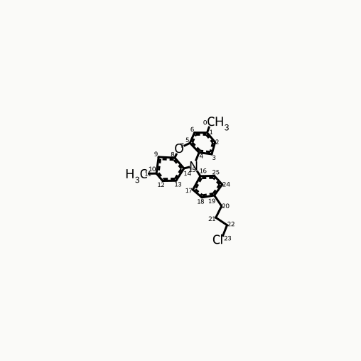 Cc1ccc2c(c1)Oc1cc(C)ccc1N2c1ccc(CCCCl)cc1